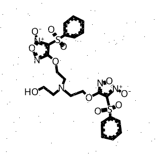 O=S(=O)(c1ccccc1)c1c(OCCN(CCO)CCOc2no[n+]([O-])c2S(=O)(=O)c2ccccc2)no[n+]1[O-]